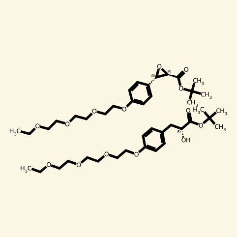 CCOCCOCCOCCOc1ccc(C[C@@H](O)C(=O)OC(C)(C)C)cc1.CCOCCOCCOCCOc1ccc([C@@H]2O[C@H]2C(=O)OC(C)(C)C)cc1